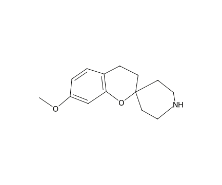 COc1ccc2c(c1)OC1(CCNCC1)CC2